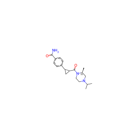 CC(C)N1CCN(C(=O)C2CC2c2ccc(C(N)=O)cc2)[C@@H](C)C1